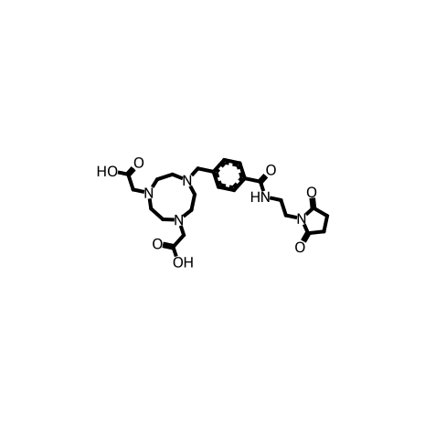 O=C(O)CN1CCN(CC(=O)O)CCN(Cc2ccc(C(=O)NCCN3C(=O)CCC3=O)cc2)CC1